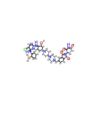 COc1cc(N2CCC(N3CCN(Cc4ccc5c(c4)C(=O)N(C4CCC(=O)NC4=O)C5=O)CC3)CC2)ccc1Nc1ncc(Cl)c(Nc2ccccc2P(C)C)n1